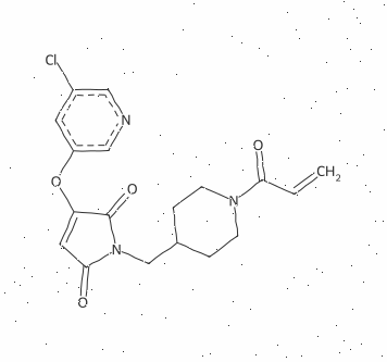 C=CC(=O)N1CCC(CN2C(=O)C=C(Oc3cncc(Cl)c3)C2=O)CC1